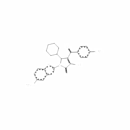 COc1ccc(C(=O)C2=C(O)C(=O)N(c3nc4ccc(OC)cc4s3)C2C2CCCCC2)cc1